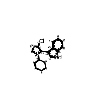 Clc1ncn(C2CCCCC2)c1-c1c[nH]c2ccccc12